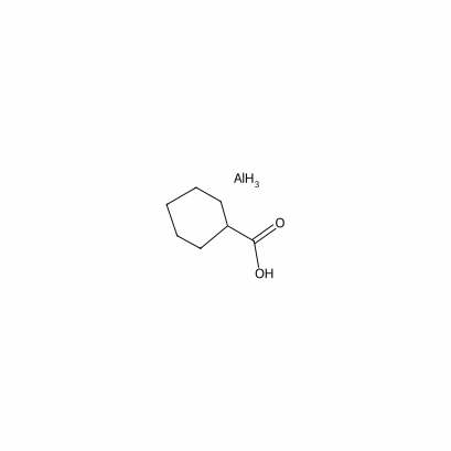 O=C(O)C1CCCCC1.[AlH3]